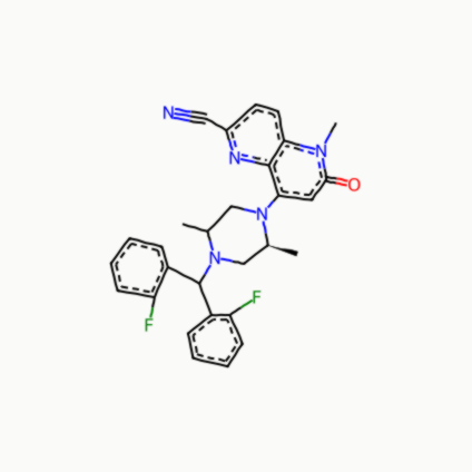 CC1CN(c2cc(=O)n(C)c3ccc(C#N)nc23)[C@@H](C)CN1C(c1ccccc1F)c1ccccc1F